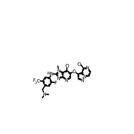 CN(C)Cc1cc(F)c(Nc2nc3ncc(Oc4cnn5ccnc(Cl)c45)c(Cl)c3n2C)cc1C(F)(F)F